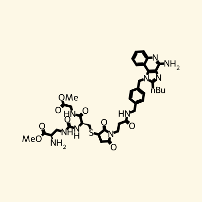 CCCCc1nc2c(N)nc3ccccc3c2n1Cc1ccc(CNC(=O)CCN2C(=O)CC(SC[C@@H](NC(=O)NC[C@@H](N)C(=O)OC)C(=O)NCC(=O)OC)C2=O)cc1